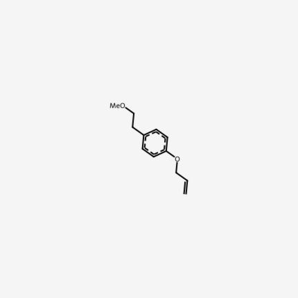 C=CCOc1ccc(CCOC)cc1